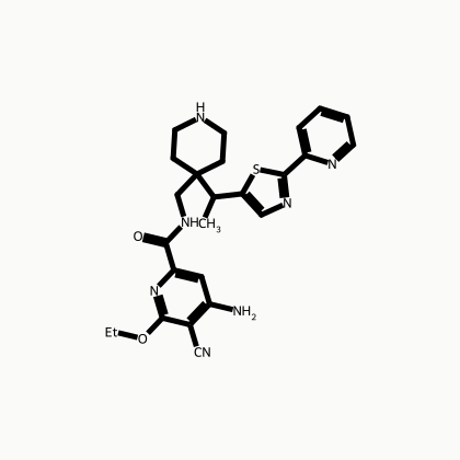 CCOc1nc(C(=O)NCC2(C(C)c3cnc(-c4ccccn4)s3)CCNCC2)cc(N)c1C#N